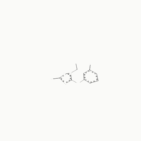 CCn1nc(Br)nc1Oc1cccc(Cl)c1